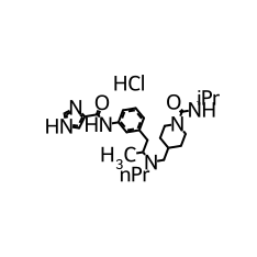 CCCN(CC1CCN(C(=O)NC(C)C)CC1)C(C)Cc1cccc(NC(=O)c2c[nH]cn2)c1.Cl